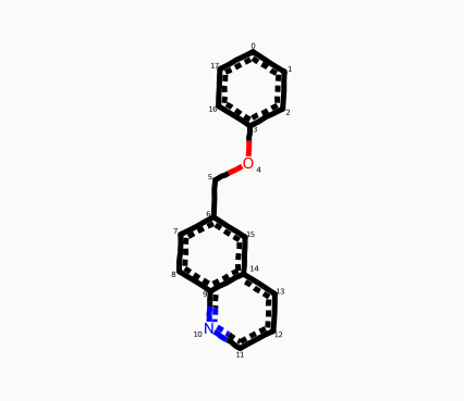 [c]1ccc(OCc2ccc3ncccc3c2)cc1